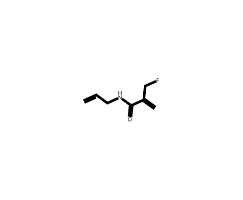 C=CCNC(=O)C(=C)CF